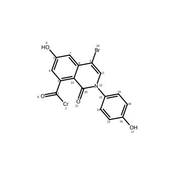 O=[C]([Cr])c1cc(O)cc2c(Br)cn(-c3ccc(O)cc3)c(=O)c12